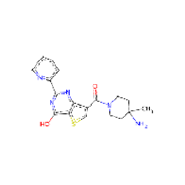 CC1(N)CCN(C(=O)c2csc3c(O)nc(-c4ccccn4)nc23)CC1